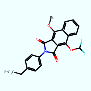 CCOC(=O)Cc1ccc(N2C(=O)c3c(c(OC(F)F)c4ccccc4c3OCC)C2=O)cc1